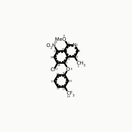 COc1ncc(C)c2c(Oc3cccc(C(F)(F)F)c3)c(Cl)cc([N+](=O)[O-])c12